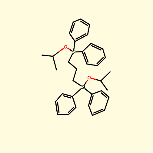 CC(C)O[Si](CCC[Si](OC(C)C)(c1ccccc1)c1ccccc1)(c1ccccc1)c1ccccc1